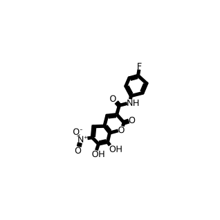 O=C(Nc1ccc(F)cc1)c1cc2cc([N+](=O)[O-])c(O)c(O)c2oc1=O